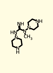 CN(C(=N)NN1CCNCC1)N1CCNCC1